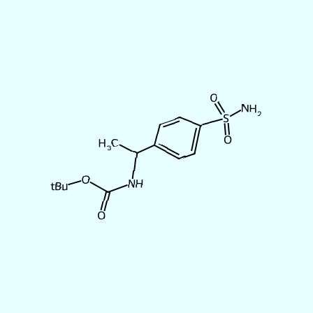 CC(NC(=O)OC(C)(C)C)c1ccc(S(N)(=O)=O)cc1